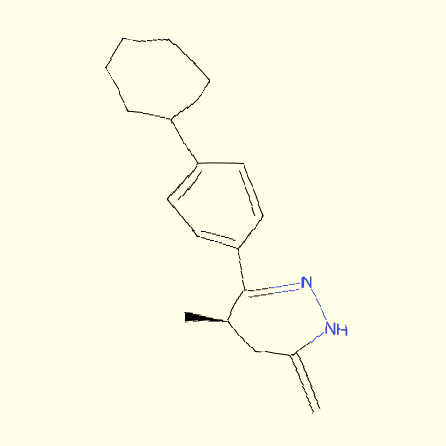 C=C1C[C@@H](C)C(c2ccc(C3CCCCC3)cc2)=NN1